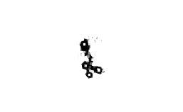 COc1ccc2nc(NC(=O)C(C)c3cccc(C4CCCC4)c3S(=O)(=O)N3CCN(C)CC3)sc2n1